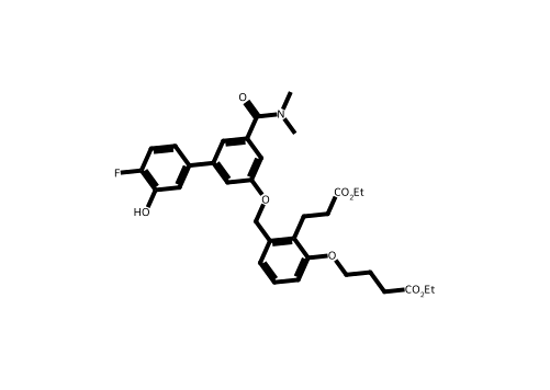 CCOC(=O)CCCOc1cccc(COc2cc(C(=O)N(C)C)cc(-c3ccc(F)c(O)c3)c2)c1CCC(=O)OCC